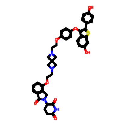 O=C1CCC(N2Cc3c(OCCN4CC5(CN(CCOc6ccc(Oc7c(-c8ccc(O)cc8)sc8cc(O)ccc78)cc6)C5)C4)cccc3C2=O)C(=O)N1